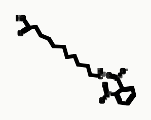 CCCCCCCCCCCC(=O)O.O=[N+]([O-])c1ccccc1[N+](=O)[O-]